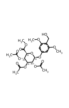 COC(=O)[C@H]1O[C@@H](Oc2cc(OC)c(CO)c(OC)c2)[C@H](OC(C)=O)[C@@H](OC(C)=O)[C@@H]1OC(C)=O